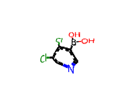 OB(O)c1cncc(Cl)c1Cl